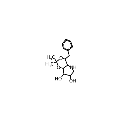 CC1(C)OC(Cc2ccccc2)C2NCC(O)C(O)C2O1